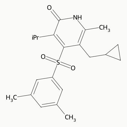 Cc1cc(C)cc(S(=O)(=O)c2c(CC3CC3)c(C)[nH]c(=O)c2C(C)C)c1